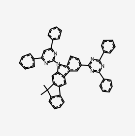 CC1(C)c2ccccc2-c2cc3c4cc(-c5nc(-c6ccccc6)nc(-c6ccccc6)n5)ccc4n(-c4nc(-c5ccccc5)cc(-c5ccccc5)n4)c3cc21